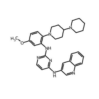 COc1ccc(N2CCC(N3CCCCC3)CC2)c(Nc2nccc(Nc3cnc4ccccc4c3)n2)c1